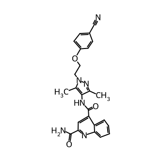 Cc1nn(CCOc2ccc(C#N)cc2)c(C)c1NC(=O)c1cc(C(N)=O)nc2ccccc12